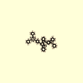 c1ccc(-c2nc(-c3ccccc3)nc(-c3ccc(-c4cc5c6ccccc6oc5c5c4c4ccccc4n5-c4ccc5c(c4)c4ccccc4n5-c4ccccc4)cc3)n2)cc1